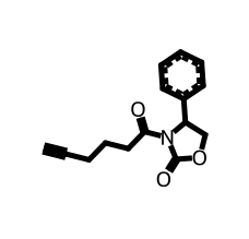 C#CCCCC(=O)N1C(=O)OCC1c1ccccc1